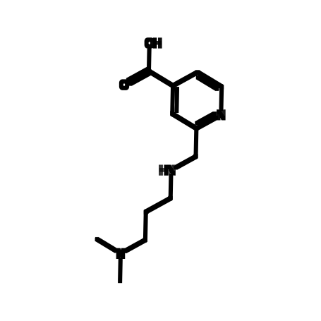 CN(C)CCCNCc1cc(C(=O)O)ccn1